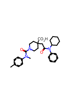 Cc1ccc(N(C)C(=O)N2CCC(CC(=O)N(c3ccccc3)C3CCCCC3)(C(=O)O)CC2)cc1